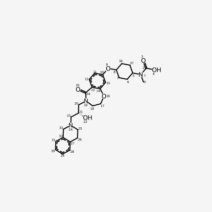 CN(C(=O)O)C1CCC(Oc2ccc3c(c2)OCCN(C[C@H](O)CN2CCc4ccccc4C2)C3=O)CC1